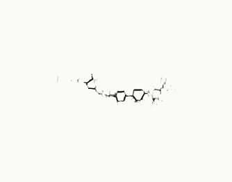 CC(=O)[C@@H](N)C1CN(c2ccc(-c3ccc(CNCc4cc(C(=O)O)c(C)o4)cc3)c(F)c2)C(=O)O1